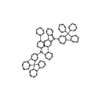 c1ccc(-c2ccc(N(c3ccc4c(c3)C3(c5ccccc5-c5ccccc53)c3ccccc3-4)c3ccccc3-c3ccc4c5ccccc5n(-c5ccc6c(c5)C(c5ccccc5)(c5ccccc5)c5ccccc5-6)c4c3)cc2)cc1